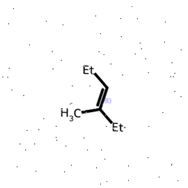 C[CH]/C(C)=C/CC